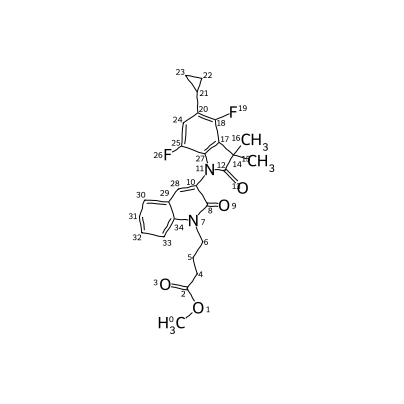 COC(=O)CCCn1c(=O)c(N2C(=O)C(C)(C)c3c(F)c(C4CC4)cc(F)c32)cc2ccccc21